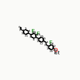 C=Cc1ccc(-c2ccc(-c3ccc(CCc4ccc(OCC)cc4F)cc3)c(F)c2F)cc1